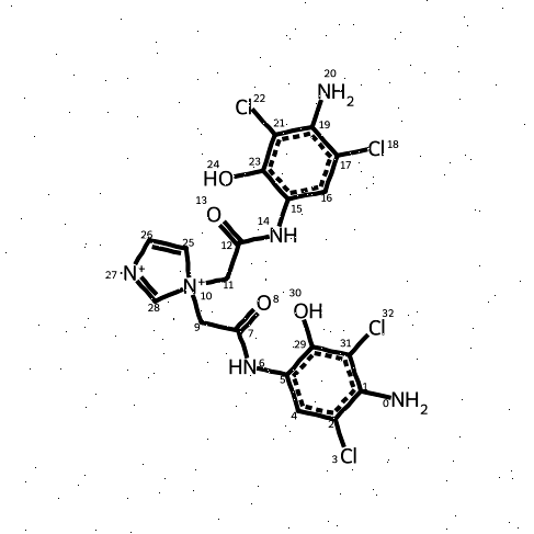 Nc1c(Cl)cc(NC(=O)C[N+]2(CC(=O)Nc3cc(Cl)c(N)c(Cl)c3O)C=C[N+]=C2)c(O)c1Cl